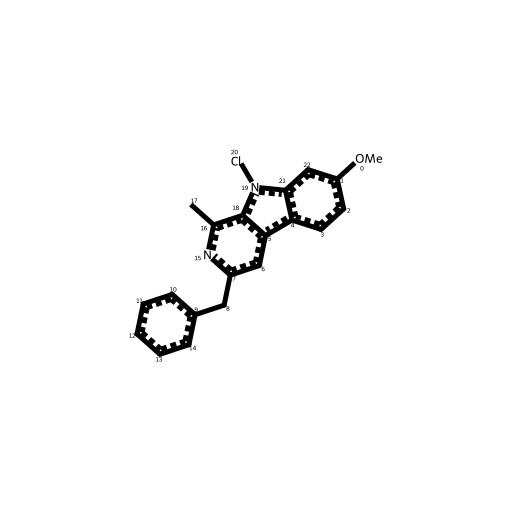 COc1ccc2c3cc(Cc4ccccc4)nc(C)c3n(Cl)c2c1